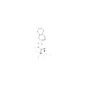 O=S(=O)(C(F)C(F)C(F)(F)S(=O)(=O)O)N1CCC2CCCCC2C1